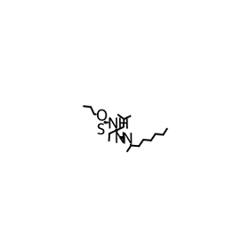 CCCCCCC(C)N=NC(CC)(CC(C)C)NC(=S)OCCC